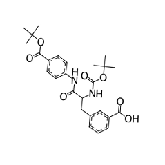 CC(C)(C)OC(=O)NC(Cc1cccc(C(=O)O)c1)C(=O)Nc1ccc(C(=O)OC(C)(C)C)cc1